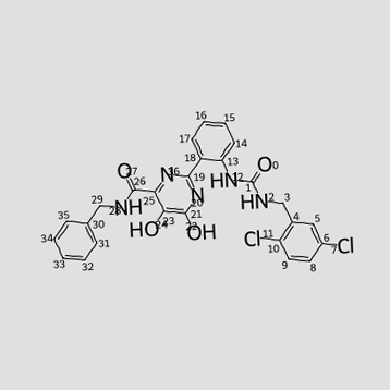 O=C(NCc1cc(Cl)ccc1Cl)Nc1ccccc1-c1nc(O)c(O)c(C(=O)NCc2ccccc2)n1